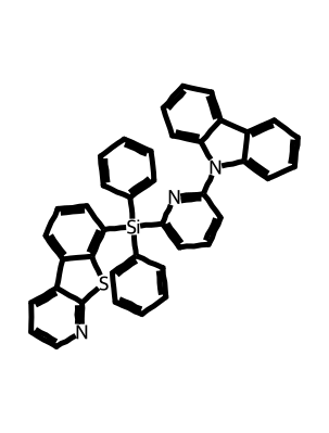 c1ccc([Si](c2ccccc2)(c2cccc(-n3c4ccccc4c4ccccc43)n2)c2cccc3c2sc2ncccc23)cc1